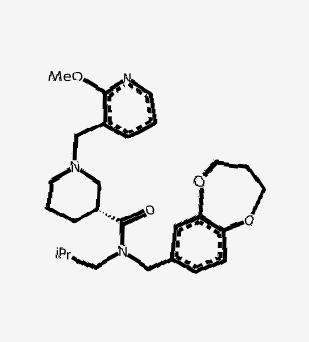 COc1ncccc1CN1CCC[C@@H](C(=O)N(Cc2ccc3c(c2)OCCCO3)CC(C)C)C1